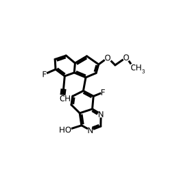 C#Cc1c(F)ccc2cc(OCOC)cc(-c3ccc4c(O)ncnc4c3F)c12